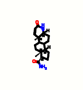 C[C@]12CCC3C(CC[C@H]4NC(=O)C=C[C@]34C)[C@@H]1CC[C@@H]2C(N)=O